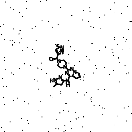 Cc1cc(Nc2nc(N3CCN(C(=O)c4csnn4)CC3)nn3cccc23)n[nH]1